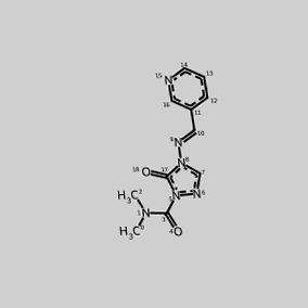 CN(C)C(=O)n1ncn(N=Cc2cccnc2)c1=O